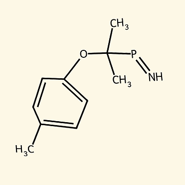 Cc1ccc(OC(C)(C)P=N)cc1